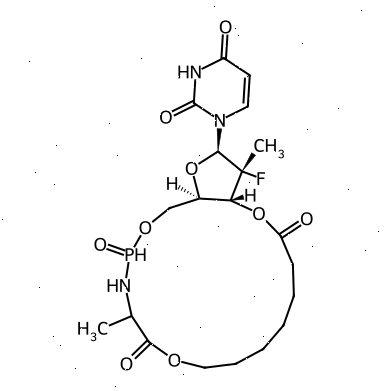 CC1N[PH](=O)OC[C@H]2O[C@@H](n3ccc(=O)[nH]c3=O)[C@](C)(F)[C@@H]2OC(=O)CCCCCCOC1=O